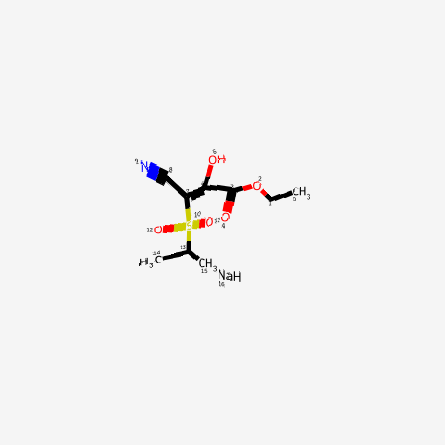 CCOC(=O)C(O)=C(C#N)S(=O)(=O)C(C)C.[NaH]